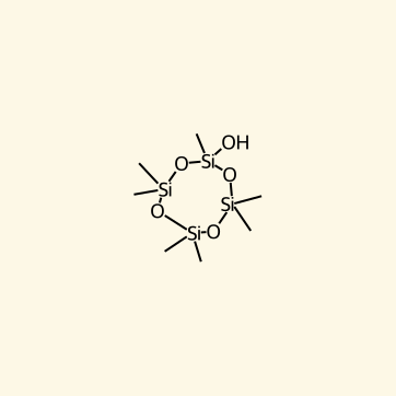 C[Si]1(C)O[Si](C)(C)O[Si](C)(O)O[Si](C)(C)O1